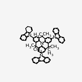 CC1(C)c2cc(-n3c4c(c5ccccc53)CCC=C4)cc3c2N2c4c1cc(-n1c5ccccc5c5ccccc51)cc4C(C)(C)c1cc(-n4c5ccccc5c5ccccc54)cc(c12)C3(C)C